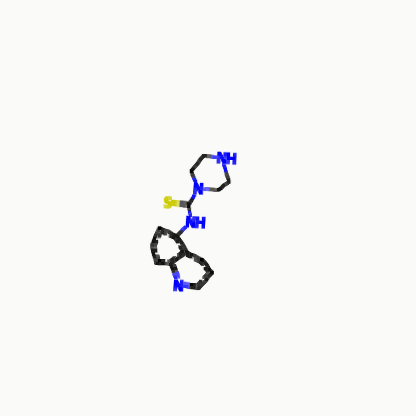 S=C(Nc1cccc2ncccc12)N1CCNCC1